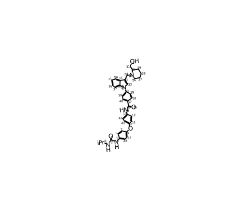 CC(C)NC(=O)Nc1ccc(Oc2ccc(NC(=O)c3ccc(-n4cc(CN5CCCCC5CO)c5ccccc54)cc3)cc2)cc1